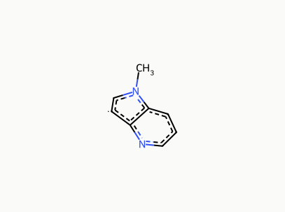 Cn1c[c]c2ncccc21